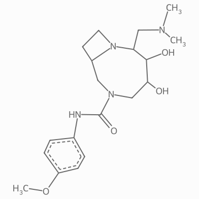 COc1ccc(NC(=O)N2CC(O)C(O)C(CN(C)C)N3CCC3C2)cc1